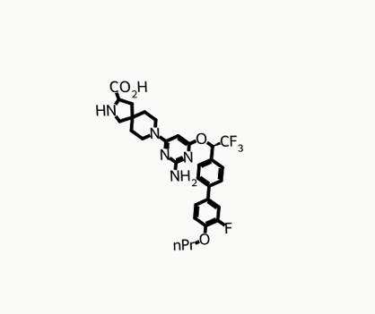 CCCOc1ccc(-c2ccc([C@@H](Oc3cc(N4CCC5(CC4)CNC(C(=O)O)C5)nc(N)n3)C(F)(F)F)cc2)cc1F